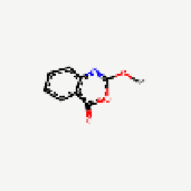 CC(C)Oc1nc2ccccc2c(=O)o1